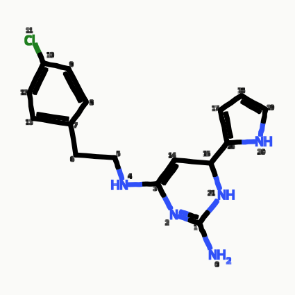 NC1=NC(NCCc2ccc(Cl)cc2)=CC(c2ccc[nH]2)N1